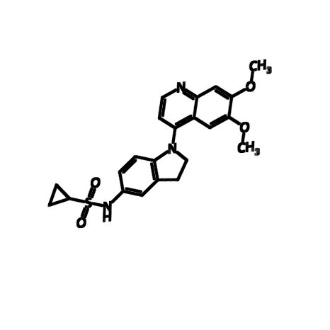 COc1cc2nccc(N3CCc4cc(NS(=O)(=O)C5CC5)ccc43)c2cc1OC